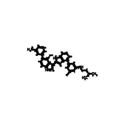 CN(C)CCNc1cc(F)cc(-c2nccc3[nH]c(-c4n[nH]c5ccc(-c6cncc(N)c6)c(F)c45)nc23)c1